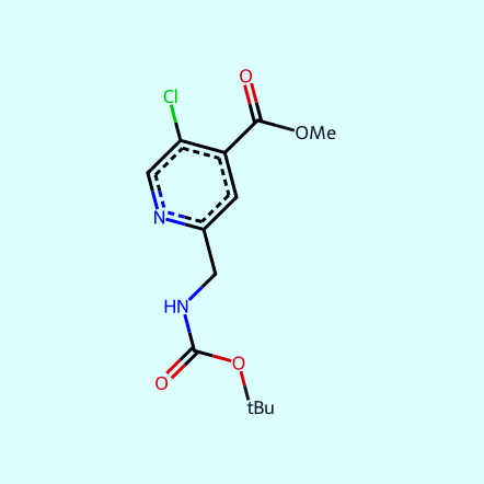 COC(=O)c1cc(CNC(=O)OC(C)(C)C)ncc1Cl